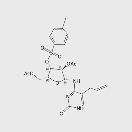 C=CCc1c[nH]c(=O)nc1N[C@@H]1O[C@H](COC(C)=O)[C@H](OS(=O)(=O)c2ccc(C)cc2)[C@H]1OC(C)=O